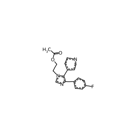 CC(=O)OCCn1cnc(-c2ccc(F)cc2)c1-c1ccncc1